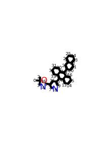 CC1(C)CN=C(c2cncc(-c3c4ccccc4c(-c4ccc5ccccc5c4)c4ccccc34)c2)O1